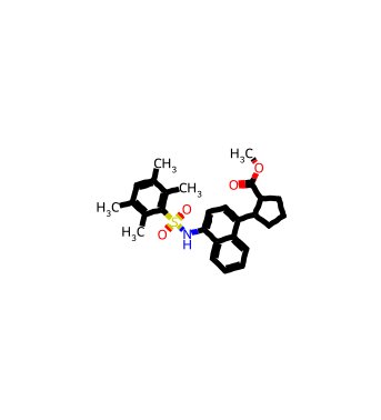 COC(=O)C1CCCC1c1ccc(NS(=O)(=O)c2c(C)c(C)cc(C)c2C)c2ccccc12